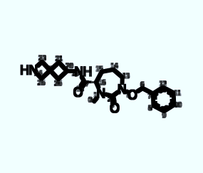 CN1C(=O)N(OCc2ccccc2)CCC[C@H]1C(=O)NC1CC2(CNC2)C1